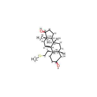 CSCC[C@]12CCC(=O)C[C@H]1CC[C@@H]1C2=CC[C@]2(C)C(=O)CC[C@@H]12